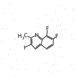 Cc1nc2c(F)c(F)ccc2cc1I